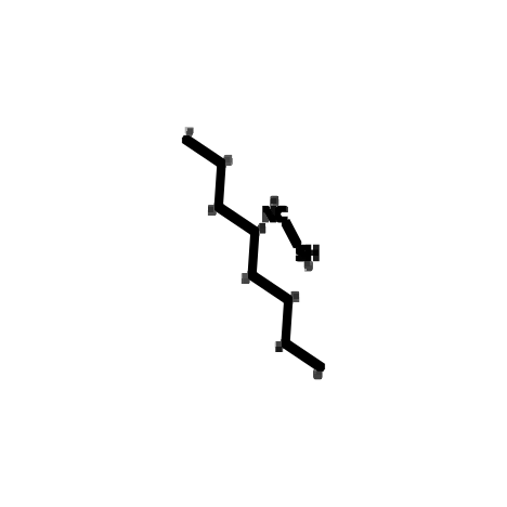 CCCCCCCC.N#CS